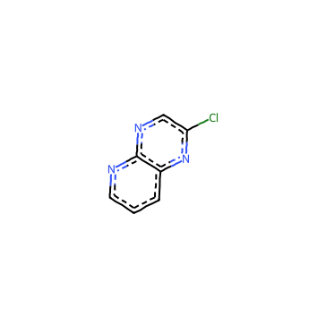 Clc1cnc2ncccc2n1